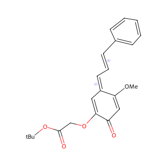 COC1=CC(=O)C(OCC(=O)OC(C)(C)C)=C/C1=C/C=C/c1ccccc1